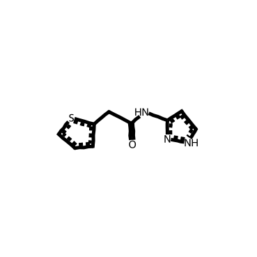 O=C(Cc1cccs1)Nc1cc[nH]n1